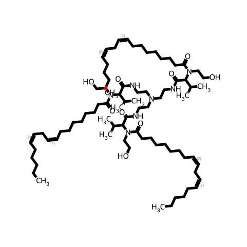 CCCCC/C=C\C/C=C\CCCCCCCC(=O)N(CCO)C(C(=O)NCCN(CCNC(=O)C(C(C)C)N(CCO)C(=O)CCCCCCC/C=C\C/C=C\CCCCC)CCNC(=O)C(C(C)C)N(CCO)C(=O)CCCCCCC/C=C\C/C=C\CCCCC)C(C)C